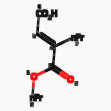 CCCOC(=O)C(=CC(=O)O)CCC